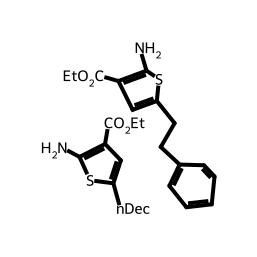 CCCCCCCCCCc1cc(C(=O)OCC)c(N)s1.CCOC(=O)c1cc(CCc2ccccc2)sc1N